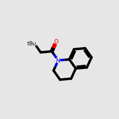 [CH2]C(C)(C)CC(=O)N1CCCc2ccccc21